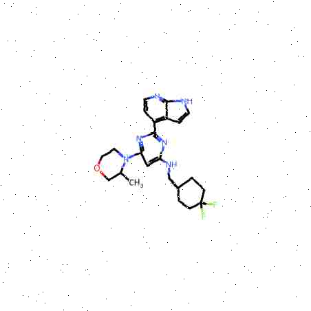 CC1COCCN1c1cc(NCC2CCC(F)(F)CC2)nc(-c2ccnc3[nH]ccc23)n1